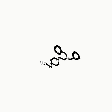 ON=C1CCN(CCN(Cc2ccccc2)Cc2ccccc2)CC1